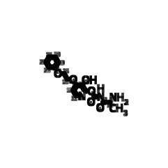 C[C@@H](N)C(=O)NC(=O)Oc1nccc(OCCOc2ccccc2)c1O